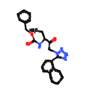 O=C(O)CC(NC(=O)OCc1ccccc1)C(=O)Cn1nnnc1-c1cccc2ccccc12